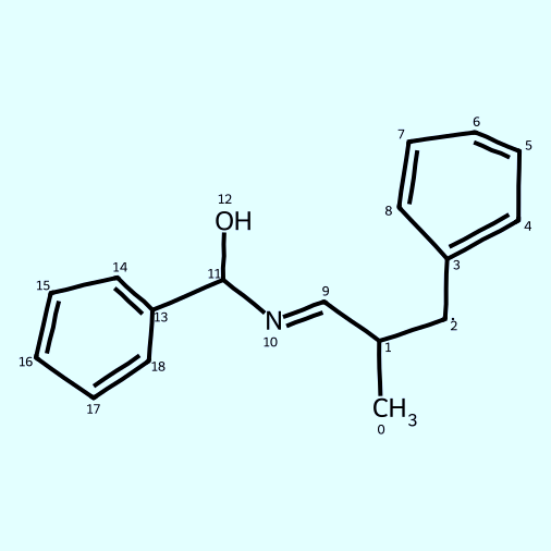 CC([CH]c1ccccc1)C=NC(O)c1ccccc1